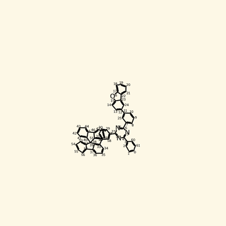 c1ccc(-c2nc(-c3cccc(-c4ccc5oc6ccccc6c5c4)c3)nc(-c3cccc(-c4cccc5c4C4(c6ccccc6-c6ccccc64)c4ccccc4-5)c3)n2)cc1